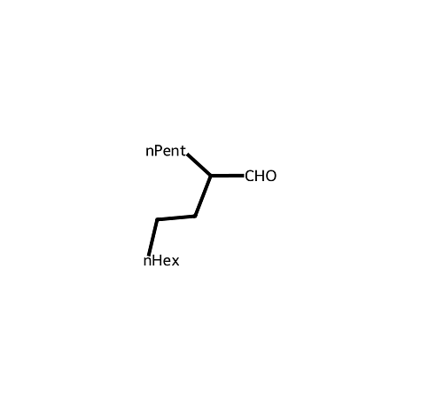 CCCCCCCCC(C=O)CCCCC